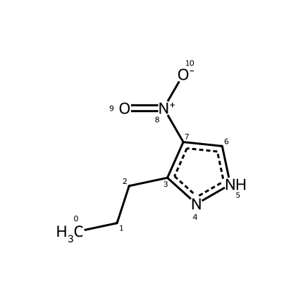 CCCc1n[nH]cc1[N+](=O)[O-]